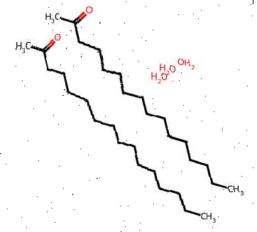 CCCCCCCCCCCCCCC(C)=O.CCCCCCCCCCCCCCC(C)=O.O.O.O